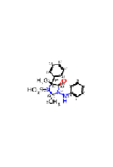 C[C@H]1N(Nc2ccccc2)C(=O)C(C)(c2ccccc2)N1S(=O)(=O)O